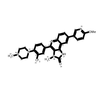 COc1ccc(-c2ccc3nc(-c4ccc(N5CCN(C)CC5)c(C(F)(F)F)c4)c4c([nH]c(=O)n4C)c3c2)cn1